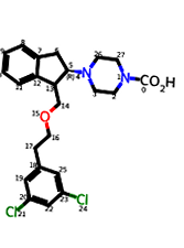 O=C(O)N1CCN([C@@H]2Cc3ccccc3C2COCCc2cc(Cl)cc(Cl)c2)CC1